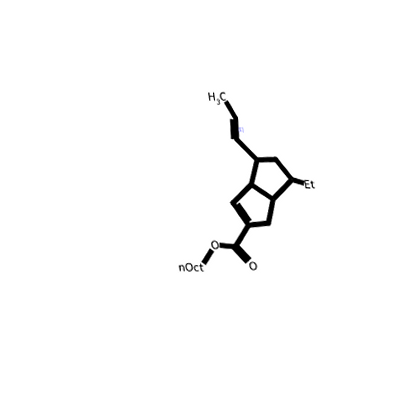 C/C=C/C1CC(CC)C2CC(C(=O)OCCCCCCCC)=CC12